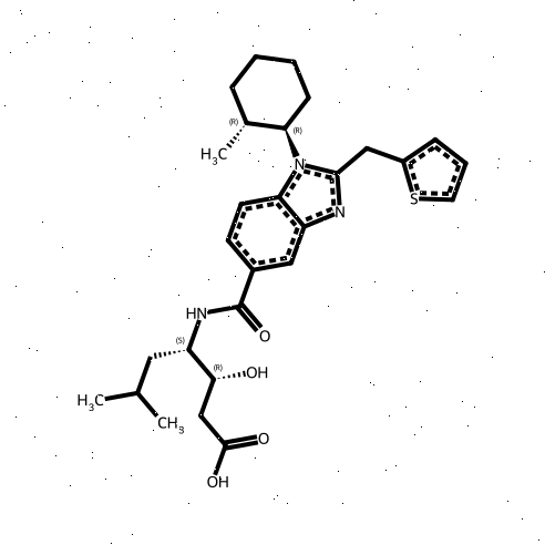 CC(C)C[C@H](NC(=O)c1ccc2c(c1)nc(Cc1cccs1)n2[C@@H]1CCCC[C@H]1C)[C@H](O)CC(=O)O